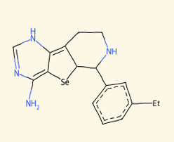 CCc1cccc(C2NCCC3=C4NC=NC(N)=C4[Se]C32)c1